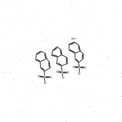 O=S(=O)([O-])c1ccc2ccccc2c1.O=S(=O)([O-])c1ccc2ccccc2c1.O=S(=O)([O-])c1ccc2ccccc2c1.[Fe+3]